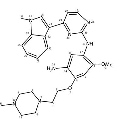 COc1cc(OCCN2CCN(C)CC2)c(N)cc1Nc1nccc(-c2cn(C)c3ccccc23)n1